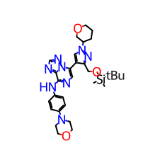 CC(C)(C)[Si](C)(C)OCc1nn(C2CCCOC2)cc1-c1cnc(Nc2ccc(N3CCOCC3)cc2)c2ncnn12